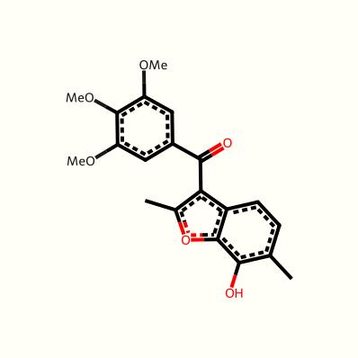 COc1cc(C(=O)c2c(C)oc3c(O)c(C)ccc23)cc(OC)c1OC